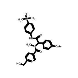 COc1ccc(C(C(=O)Nc2ccc(S(C)(C)C)cc2)N(C)C(=O)c2ccc(CO)nc2)cc1